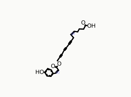 O=C(O)CCC/C=C\CC#CC#CC#CCOC(=O)/C=C\c1ccc(O)cc1